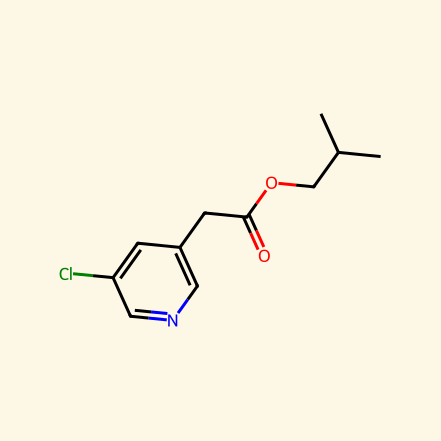 CC(C)COC(=O)Cc1cncc(Cl)c1